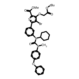 COC(=O)c1sc(-c2cccc(N(C(=O)N(C)c3ccc(Oc4ccccc4)cc3)C3CCCCC3)c2)c(Br)c1OCC(=O)OC(C)(C)C